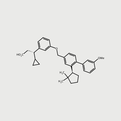 COc1cccc(-c2ccc(COc3cccc([C@@H](CC(=O)O)C4CC4)c3)cc2[C@H]2CCCC2(C)C)c1